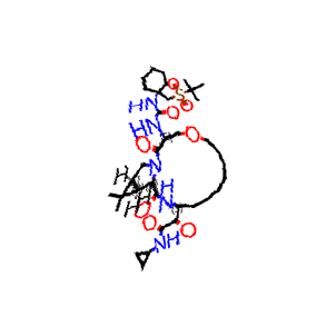 CC1(C)[C@@H]2[C@H]3C(=O)N[C@H](C(=O)C(=O)NC4CC4)CCCCCCCOC[C@H](NC(=O)NC4(CS(=O)(=O)C(C)(C)C)CCCCC4)C(=O)N3C[C@@H]21